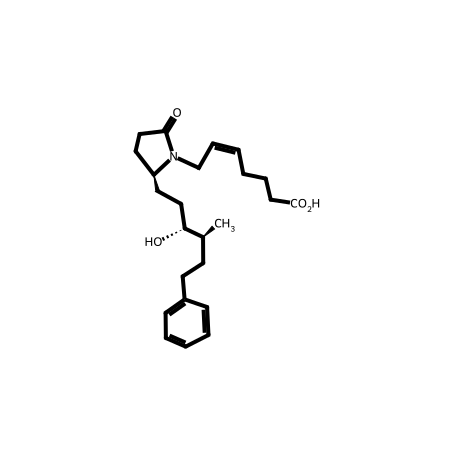 C[C@@H](CCc1ccccc1)[C@H](O)CC[C@H]1CCC(=O)N1C/C=C\CCCC(=O)O